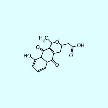 CC1OC(CC(=O)O)CC2=C1C(=O)C1C(O)=CC=CC1C2=O